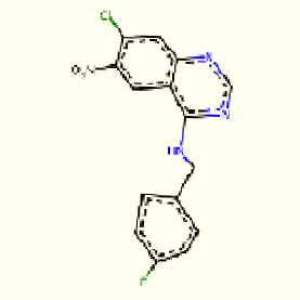 O=[N+]([O-])c1cc2c(NCc3ccc(F)cc3)ncnc2cc1Cl